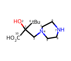 CC(C)(C)C(O)(CN1CCNCC1)C(=O)O